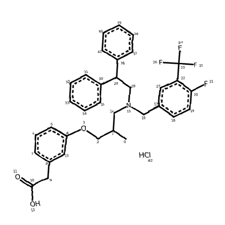 CC(COc1cccc(CC(=O)O)c1)CN(Cc1ccc(F)c(C(F)(F)F)c1)CC(c1ccccc1)c1ccccc1.Cl